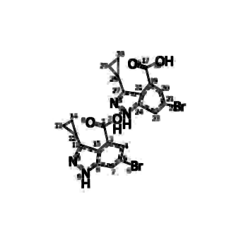 O=C(O)c1cc(Br)cc2[nH]nc(C3CC3)c12.O=C(O)c1cc(Br)cc2[nH]nc(C3CC3)c12